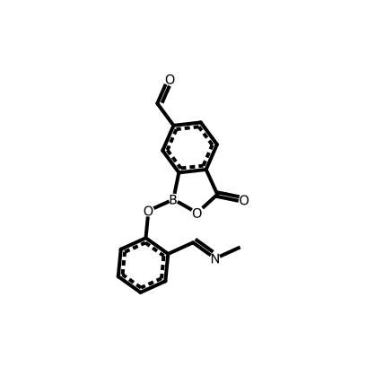 C/N=C/c1ccccc1OB1OC(=O)c2ccc(C=O)cc21